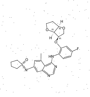 Cc1cc(N=S2(=O)CCCC2)cc2ncnc(Nc3ccc(F)cc3O[C@@H]3CO[C@@H]4CCO[C@@H]43)c12